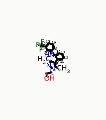 Cc1nn(CCO)c(C)c1-c1ccccc1Nc1cccc(C(F)(F)F)c1